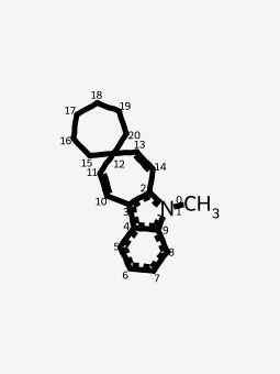 Cn1c2c(c3ccccc31)C=CC1(C=C2)CCCCCC1